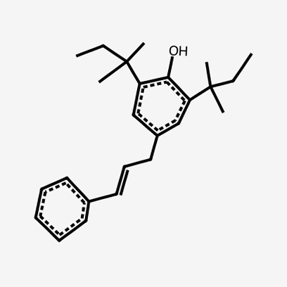 CCC(C)(C)c1cc(CC=Cc2ccccc2)cc(C(C)(C)CC)c1O